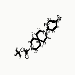 CC(C)(C)OC(=O)N1CCC2(CC1)CCN(c1ccc(Br)cn1)CC2